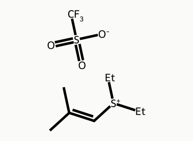 CC[S+](C=C(C)C)CC.O=S(=O)([O-])C(F)(F)F